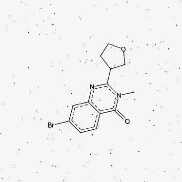 Cn1c(C2CCOC2)nc2cc(Br)ccc2c1=O